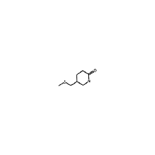 CSCC1CCC(=O)[N]C1